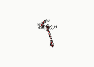 CCCN(CCCNC(=O)CC(C)(C)C)C(=O)C1=Cc2sc(CCCCCNC(=O)[C@H](CS(=O)(=O)O)NC(=O)CCOCCOCCOCCOCCOCCOCCOCCOCCOCCOCCC(=O)Oc3c(F)c(F)cc(F)c3F)cc2N=C(N)C1